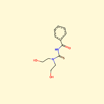 O=C(NC(=S)N(CCO)CCO)c1ccccc1